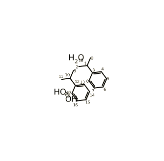 CC(C)c1ccccc1.CC(C)c1ccccc1.O.OO